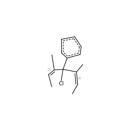 C/C=C(/C)C(Cl)(/C(C)=C\C)c1ccccc1